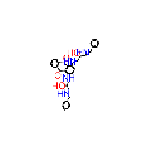 O=C1c2ccccc2C(=O)c2c(NCC(O)CNCc3ccccc3)ccc(NCC(O)CNCc3ccccc3)c21